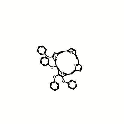 C1=CC2=NC1=CC1=NC(=C(Oc3ccccc3)C3=NC(=CC4=NC(=C2)C=C4)C=C3Oc2ccccc2)C(Oc2ccccc2)=C1Oc1ccccc1